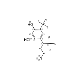 CC(C)(C)c1cc(C(CCN)C(C)(C)C)ccc1O.Cl